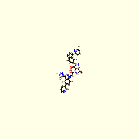 Cc1cccc(-c2nnc3ccc(NC(=O)C4CC(F)CN4C(=O)Cn4nc(C(N)=O)c5cc(-c6ccnnc6)ccc54)cn23)n1